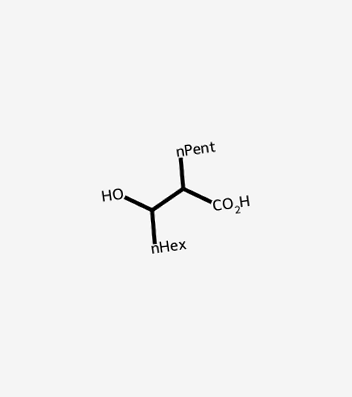 CCCCCCC(O)C(CCCCC)C(=O)O